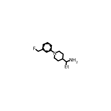 CCC(N)C1CCN(c2cccc(CF)c2)CC1